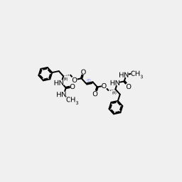 CNC(=O)N[C@@H](COC(=O)/C=C/C(=O)OC[C@@H](Cc1ccccc1)NC(=O)NC)Cc1ccccc1